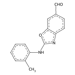 Cc1ccccc1Nc1nc2ccc(C=O)cc2o1